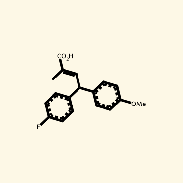 COc1ccc(C(C=C(C)C(=O)O)c2ccc(F)cc2)cc1